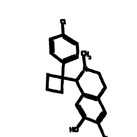 CN1CCc2cc(Cl)c(O)cc2C1C1(c2ccc(Cl)cc2)CCC1